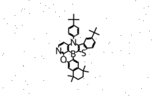 CC(C)(C)c1ccc(N2c3ccnc4c3B(c3cc5c(cc3O4)C(C)(C)CCC5(C)C)c3sc4ccc(C(C)(C)C)cc4c32)cc1